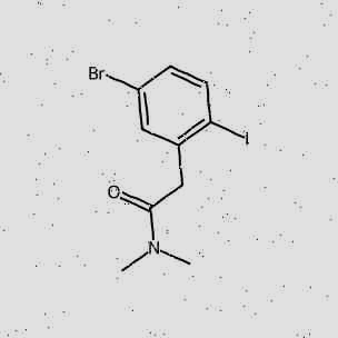 CN(C)C(=O)Cc1cc(Br)ccc1I